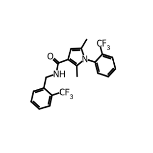 Cc1cc(C(=O)NCc2ccccc2C(F)(F)F)c(C)n1-c1ccccc1C(F)(F)F